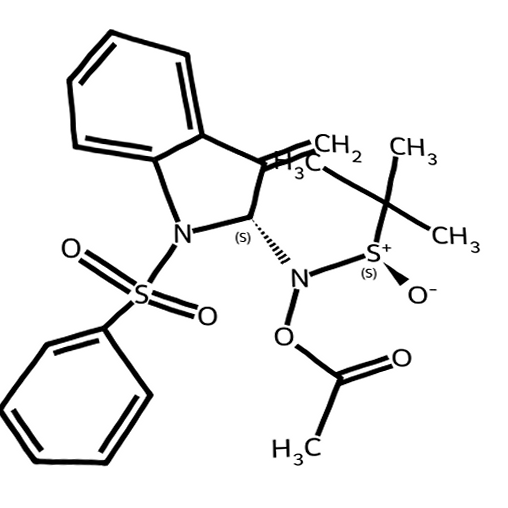 C=C1c2ccccc2N(S(=O)(=O)c2ccccc2)[C@H]1N(OC(C)=O)[S@+]([O-])C(C)(C)C